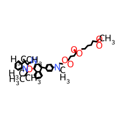 CCN(CCOC(=O)CCC(=O)OCCCCCC(=O)OC)c1ccc(-c2cc3c(c4ccccc24)OC2(C=N3)N(CC(C)(C)C)c3ccccc3C2(C)C)cc1